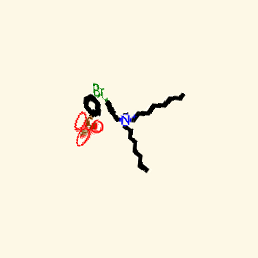 CCCCCCCC[N+](C)(CC#CBr)CCCCCCCC.O=S(=O)([O-])c1ccccc1